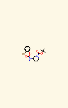 CN(C(=O)Oc1ccccc1Br)C1CCCN(C(=O)OC(C)(C)C)C1